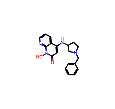 O=c1cc(NC2CCN(Cc3ccccc3)C2)c2cccnc2n1O